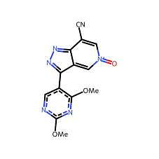 COc1ncc(C2=NN=C3C(C#N)=C[N+](=O)C=C32)c(OC)n1